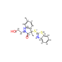 Cc1ccc(C(C)(Sc2nc3ccccc3s2)C(=O)NCCO)cc1